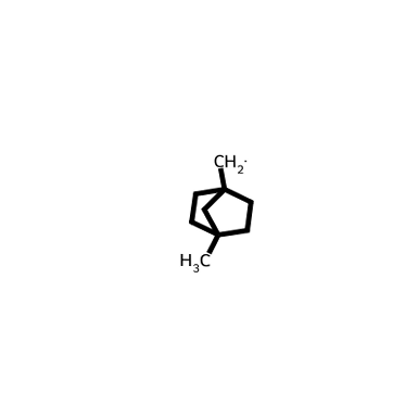 [CH2]C12CCC(C)(CC1)C2